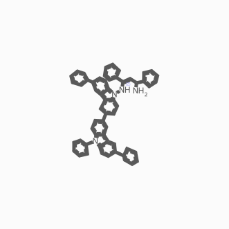 NC(/C=C(\Nn1c2ccc(-c3ccccc3)cc2c2cc(-c3ccc4c(c3)c3cc(-c5ccccc5)ccc3n4-c3ccccc3)ccc21)c1ccccc1)c1ccccc1